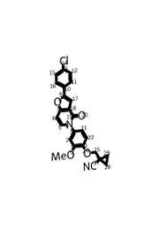 COc1cc(-n2ccc3oc(-c4ccc(Cl)cc4)cc3c2=O)ccc1OCC1(C#N)CC1